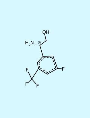 N[C@H](CO)c1cc(F)cc(C(F)(F)F)c1